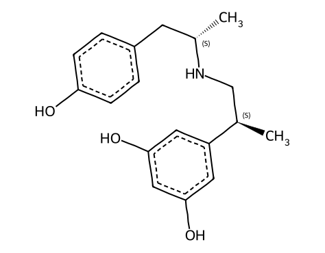 C[C@H](CN[C@@H](C)Cc1ccc(O)cc1)c1cc(O)cc(O)c1